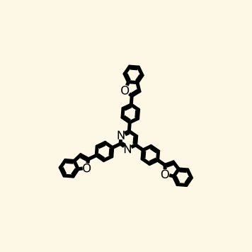 c1ccc2oc(-c3ccc(-c4cc(-c5ccc(-c6cc7ccccc7o6)cc5)nc(-c5ccc(-c6cc7ccccc7o6)cc5)n4)cc3)cc2c1